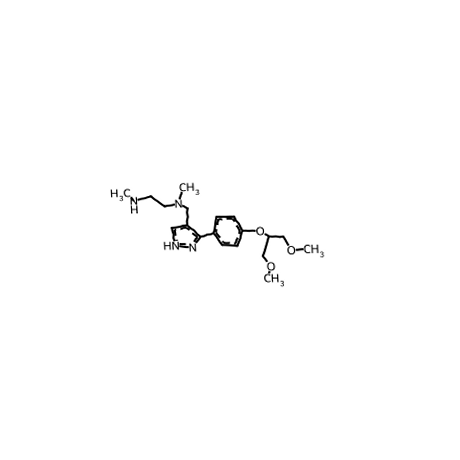 CNCCN(C)Cc1c[nH]nc1-c1ccc(OC(COC)COC)cc1